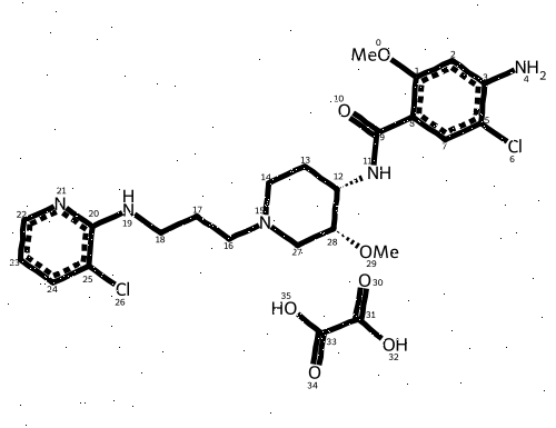 COc1cc(N)c(Cl)cc1C(=O)N[C@H]1CCN(CCCNc2ncccc2Cl)C[C@H]1OC.O=C(O)C(=O)O